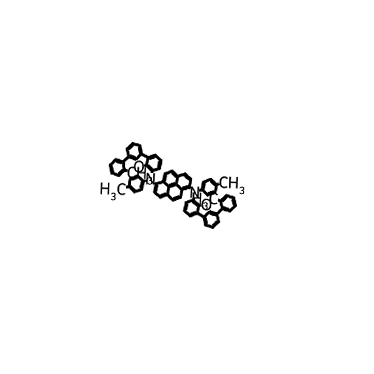 Cc1ccc(N(c2ccc3ccc4c(N(c5ccc(C)cc5)c5cccc6c5oc5c(-c7ccccc7C)cccc56)ccc5ccc2c3c54)c2cccc3c2oc2c(-c4ccccc4C)cccc23)cc1